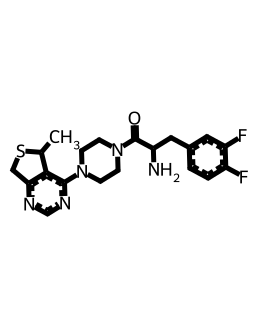 CC1SCc2ncnc(N3CCN(C(=O)C(N)Cc4ccc(F)c(F)c4)CC3)c21